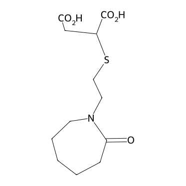 O=C(O)CC(SCCN1CCCCCC1=O)C(=O)O